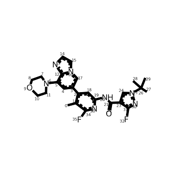 Cc1c(-c2cc(N3CCOCC3)c3nccn3c2)cc(NC(=O)c2cn(C(C)(C)C)nc2F)nc1F